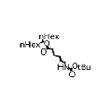 CCCCCCC(CCCCCC)OC(=O)CCCCCNC(=O)OC(C)(C)C